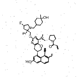 C#Cc1c(F)ccc2cc(O)cc([C@@H]3COc4c(nc(OC[C@]5(C(C)C)C[C@@H](F)CN5CC5CCC(C)(O)CC5)nc4N(C)C[C@@H]4CCCN4C(=O)C=C)C3)c12